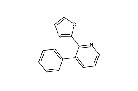 c1ccc(-c2cccnc2-c2ncco2)cc1